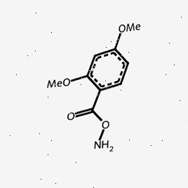 COc1ccc(C(=O)ON)c(OC)c1